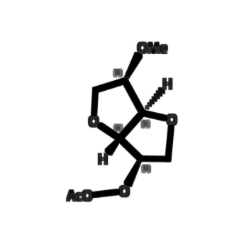 CO[C@@H]1CO[C@@H]2[C@@H]1OC[C@H]2OOC(C)=O